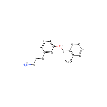 COC1=C(COc2cccc(CCCN)c2)CCC=C1